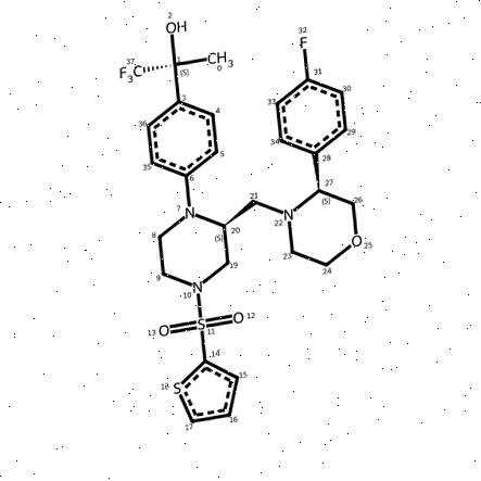 C[C@](O)(c1ccc(N2CCN(S(=O)(=O)c3cccs3)C[C@@H]2CN2CCOC[C@@H]2c2ccc(F)cc2)cc1)C(F)(F)F